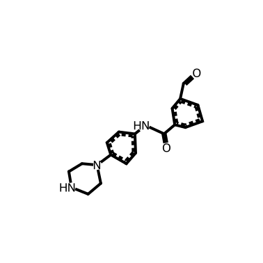 O=Cc1cccc(C(=O)Nc2ccc(N3CCNCC3)cc2)c1